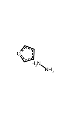 NN.c1ccoc1